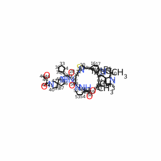 CCn1c(-c2cccnc2[C@H](C)OC)c2c3cc(ccc31)-c1csc(n1)C[C@H](NC(=O)[C@H](C1CCCC1)N1CC[C@]3(CCN(C(=O)[C@H]4CO4)C3)C1)C(=O)N1CCC[C@H](N1)C(=O)OCC(C)(C)C2